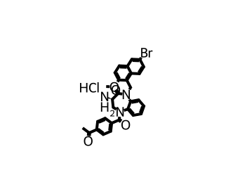 COc1ccc2cc(Br)ccc2c1CN1C(=O)[C@@H](N)CN(C(=O)c2ccc(C(C)=O)cc2)c2ccccc21.Cl